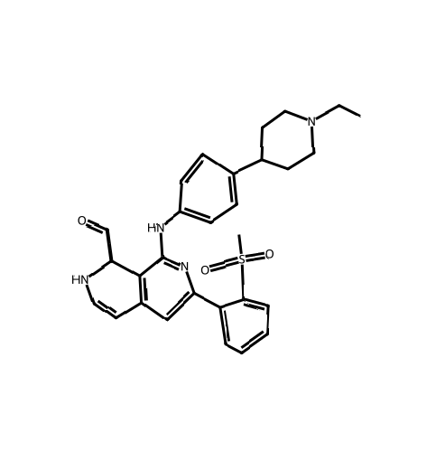 CCN1CCC(c2ccc(Nc3nc(-c4ccccc4S(C)(=O)=O)cc4c3C(C=O)NC=C4)cc2)CC1